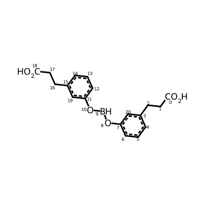 O=C(O)CCc1cccc(OBOc2cccc(CCC(=O)O)c2)c1